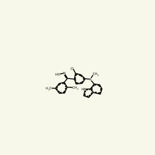 Cc1ccc(C)c(C(=NO)c2ccc(N(C)c3cccc4cc[nH]c34)cc2Cl)c1